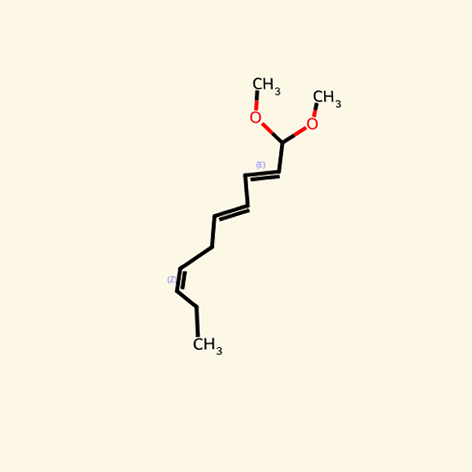 CC/C=C\CC=C/C=C/C(OC)OC